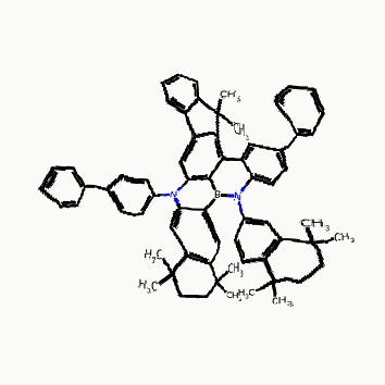 CC1(C)CCC(C)(C)c2cc(N3B4c5cc6c(cc5N(c5ccc(-c7ccccc7)cc5)c5cc7c(c(c54)-c4cc(-c5ccccc5)ccc43)C(C)(C)c3ccccc3-7)C(C)(C)CCC6(C)C)ccc21